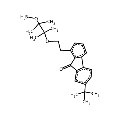 BOC(C)(C)C(C)(C)OCCc1cccc2c1C(=O)c1cc(C(C)(C)C)ccc1-2